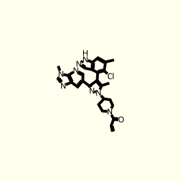 C=CC(=O)N1CCC(n2nc(-c3cnc4c(c3)ncn4C)c(-c3c(Cl)c(C)cc4[nH]ncc34)c2C)CC1